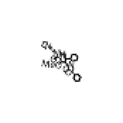 COc1c(C(=O)NCCN2CCCC2)n(C)c2c1c(=O)n(CC(=O)c1ccccc1)c1ccccc21